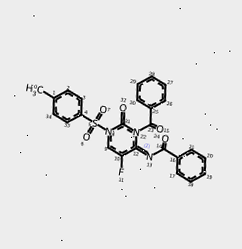 Cc1ccc(S(=O)(=O)n2cc(F)/c(=N/C(=O)c3ccccc3)n(C(=O)c3ccccc3)c2=O)cc1